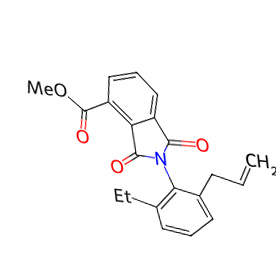 C=CCc1cccc(CC)c1N1C(=O)c2cccc(C(=O)OC)c2C1=O